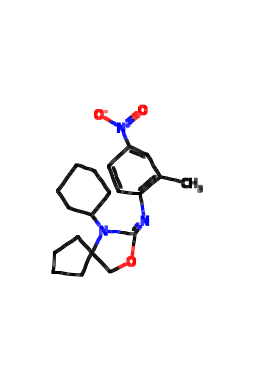 Cc1cc([N+](=O)[O-])ccc1/N=C1/OCC2(CCCC2)N1C1CCCCC1